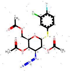 CC(=O)OC[C@H]1O[C@H](Sc2ccc(F)c(Cl)c2)[C@H](OC(C)=O)[C@@H](N=[N+]=[N-])[C@H]1OC(C)=O